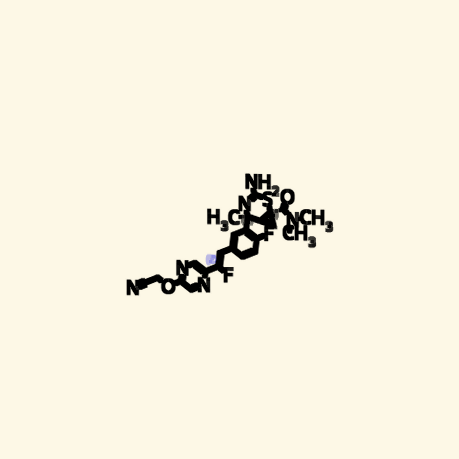 CN(C)C(=O)[C@]12C=C1[C@@](C)(c1cc(/C=C(\F)c3cnc(OCC#N)cn3)ccc1F)N=C(N)S2